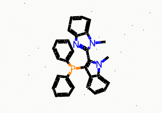 Cn1c(-c2c(P(c3ccccc3)c3ccccc3)c3ccccc3n2C)nc2ccccc21